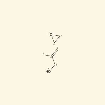 C1CO1.C=C(C)CO